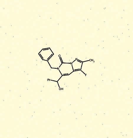 Cc1nn2c(=O)n(Cc3ccccc3)c(C(O)C(C)C)cc2c1F